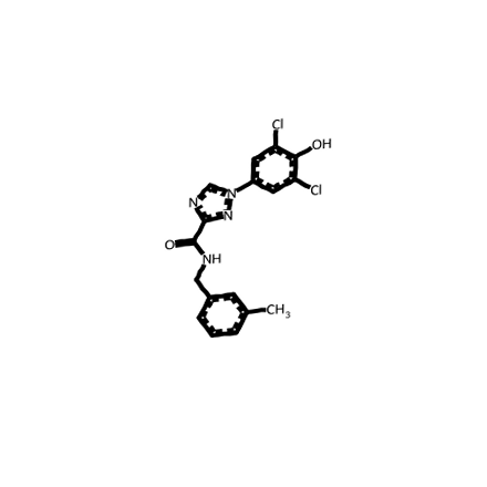 Cc1cccc(CNC(=O)c2ncn(-c3cc(Cl)c(O)c(Cl)c3)n2)c1